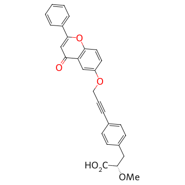 CO[C@@H](Cc1ccc(C#CCOc2ccc3oc(-c4ccccc4)cc(=O)c3c2)cc1)C(=O)O